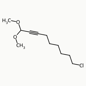 COC(C#CCCCCCCCl)OC